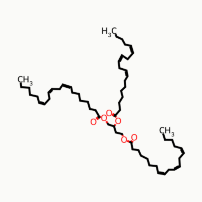 CCCC/C=C\C/C=C\C/C=C\CCCCCCC(=O)OCCC(COC(=O)CCCCCC/C=C\C/C=C\C/C=C\CCCCC)OC(=O)CCCCCC/C=C\C/C=C\C/C=C\CCCC